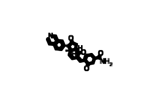 C[C@]12C=CC3=CC4=C(CC(C(N)=O)CC4=O)O[C@H]3[C@@H]1CC(=O)[C@@H]2c1ccc2ccncc2c1